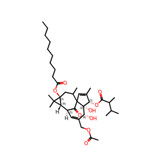 CCCCCCCCCC(=O)O[C@@]12CC(C)C34C=C(C)[C@H](OC(=O)C(C)C(C)C)[C@@]3(O)[C@H](O)C(COC(C)=O)=C[C@H](C4=O)[C@@H]1C2(C)C